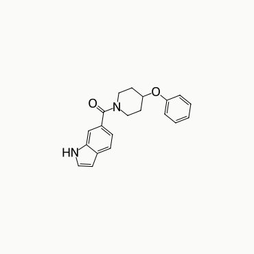 O=C(c1ccc2cc[nH]c2c1)N1CCC(Oc2ccccc2)CC1